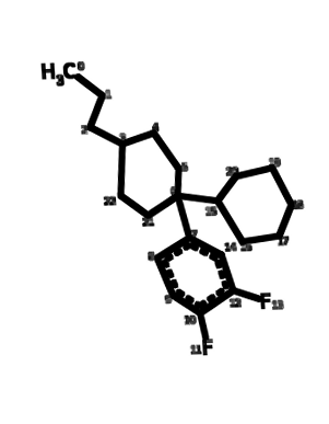 CCCC1CCC(c2ccc(F)c(F)c2)(C2CCCCC2)CC1